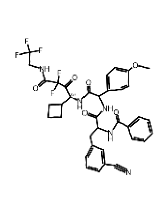 COc1ccc(C(NC(=O)C(Cc2cccc(C#N)c2)NC(=O)c2ccccc2)C(=O)N[C@H](C(=O)C(F)(F)C(=O)NCC(F)(F)F)C2CCC2)cc1